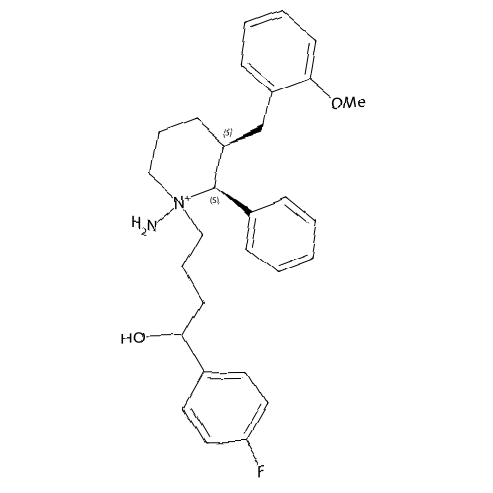 COc1ccccc1C[C@@H]1CCC[N+](N)(CCCC(O)c2ccc(F)cc2)[C@@H]1c1ccccc1